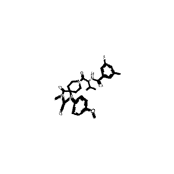 COc1ccc(N2C(=O)N(C)C(=O)C23CCN(C(=O)[C@H](NC(=O)c2cc(C)cc(F)c2)C(C)C)CC3)cc1